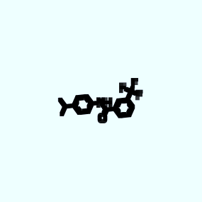 CC(C)c1ccc(NC(=O)c2cccc(C(F)(F)F)c2)cc1